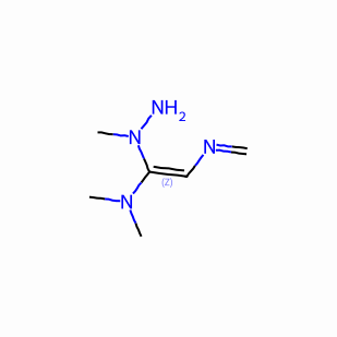 C=N/C=C(/N(C)C)N(C)N